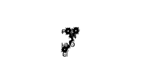 O=C(CCc1cc(-c2cccc(F)c2)n(-c2ccccn2)n1)NCc1cccc(Cl)c1